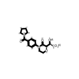 O=C(O)[C@H](O)[C@H]1OCCN(c2ccc(C(=O)N3CCCC3)cc2)C1=O